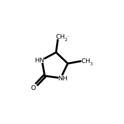 [CH2]C1NC(=O)NC1C